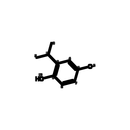 CC(C)c1cc([O])ccc1O